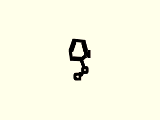 ClOc1ccccn1